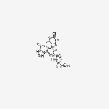 CC(C)c1nnnn1-c1cc(C(=O)NC(C)(C)CO)cc(-c2ccc(Cl)cc2)c1